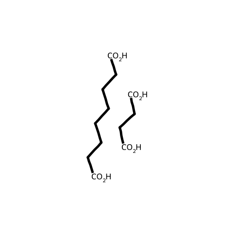 O=C(O)CCC(=O)O.O=C(O)CCCCCCC(=O)O